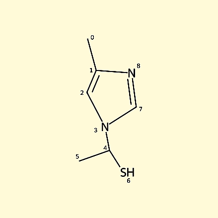 Cc1cn(C(C)S)cn1